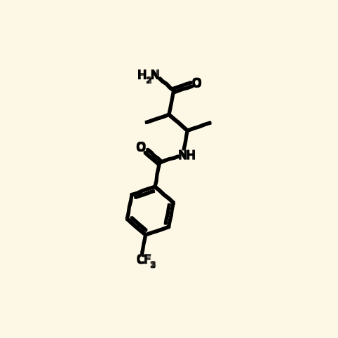 CC(NC(=O)c1ccc(C(F)(F)F)cc1)C(C)C(N)=O